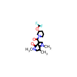 Cc1cn(C)c(=O)c2c(C(=O)N3CCCC(OC(F)F)C3)cn(C)c12